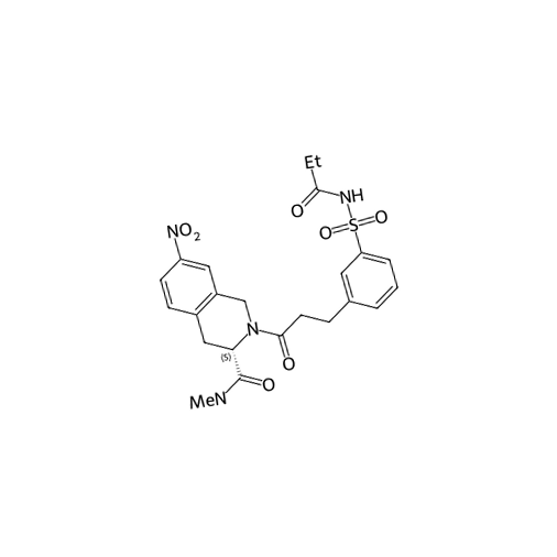 CCC(=O)NS(=O)(=O)c1cccc(CCC(=O)N2Cc3cc([N+](=O)[O-])ccc3C[C@H]2C(=O)NC)c1